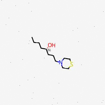 CCCC[C@H](O)CCCN1CCSCC1